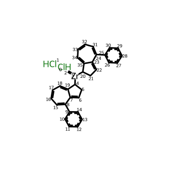 Cl.Cl.[CH2]=[Zr]([CH]1CC=C2C(c3ccccc3)=CC=CC=C21)[CH]1CC=C2C(c3ccccc3)=CC=CC=C21